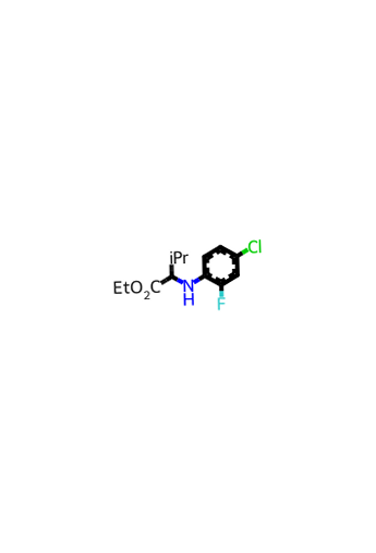 CCOC(=O)C(Nc1ccc(Cl)cc1F)C(C)C